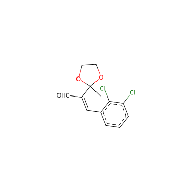 CC1(C(C=O)=Cc2cccc(Cl)c2Cl)OCCO1